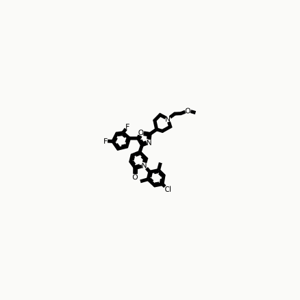 COCCN1CCC(c2nc(-c3ccc(=O)n(-c4c(C)cc(Cl)cc4C)c3)c(-c3ccc(F)cc3F)o2)CC1